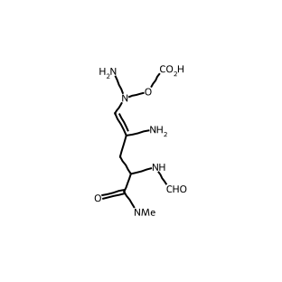 CNC(=O)C(C/C(N)=C/N(N)OC(=O)O)NC=O